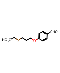 O=Cc1ccc(OCCCSCC(=O)O)cc1